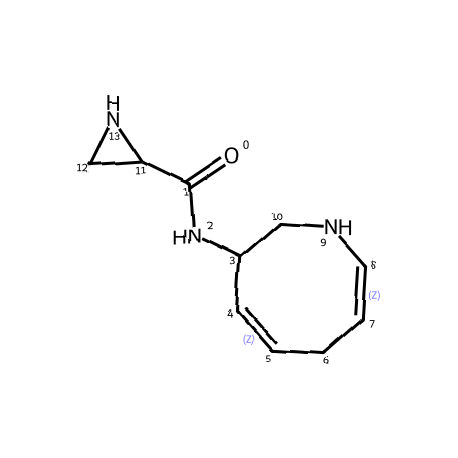 O=C(NC1/C=C\C/C=C\NC1)C1CN1